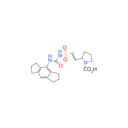 O=C(Nc1c2c(cc3c1CCC3)CCC2)NS(=O)(=O)C=CC1CCCN1C(=O)O